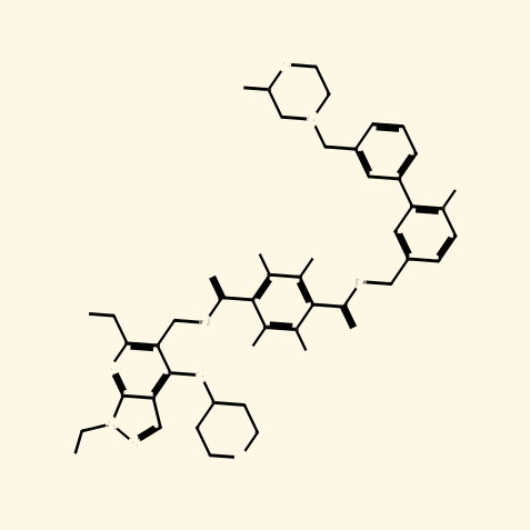 CCc1nc2c(cnn2CC)c(NC2CCOCC2)c1CNC(=O)c1c(F)c(F)c(C(=O)NCc2ccc(F)c(-c3cccc(CN4CCNC(C)C4)c3)c2)c(F)c1F